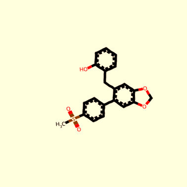 CS(=O)(=O)c1ccc(-c2cc3c(cc2Cc2ccccc2O)OCO3)cc1